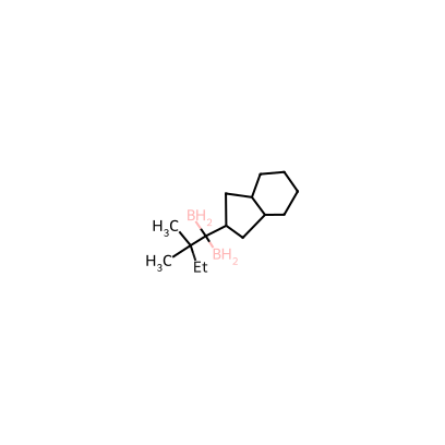 BC(B)(C1CC2CCCCC2C1)C(C)(C)CC